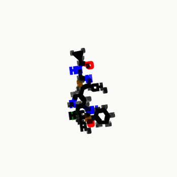 Cc1nc(NC(=O)C2CC2)sc1-c1cnc(Cl)c(NS(C)(C)(=O)c2ccccc2)c1